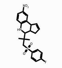 CC(C)(CS(=O)(=O)c1ccc(F)cc1)C1Nc2ccc([N+](=O)[O-])cc2C2C=CCC21